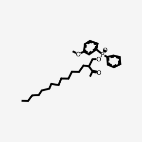 CCCCCCCCCCCCCC(COP(=O)(c1ccccc1)c1cccc(OC)c1)C(C)=O